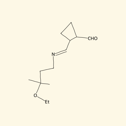 CCOC(C)(C)CC/N=C/C1CCC1C=O